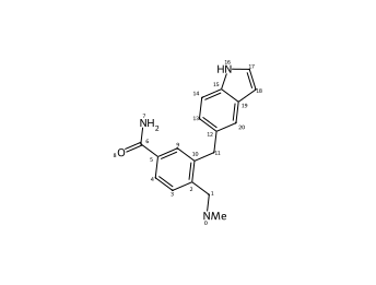 CNCc1ccc(C(N)=O)cc1Cc1ccc2[nH]ccc2c1